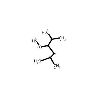 CC([SiH3])CC(OS)C(C)C